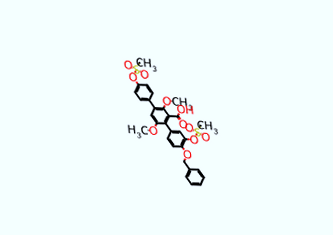 COc1cc(-c2ccc(OS(C)(=O)=O)cc2)c(OC)c(C(=O)O)c1-c1ccc(OCc2ccccc2)c(OS(C)(=O)=O)c1